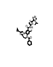 CC(C)n1cnnc1-c1nc(NC(=O)c2cc3c(cc2F)N(C(=O)c2ccccc2)CCc2nc(C4CC4)cn2-3)cs1